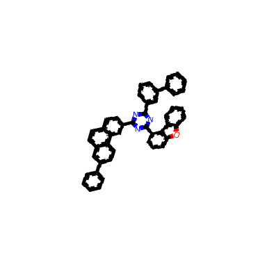 c1ccc(-c2cccc(-c3nc(-c4ccc5ccc6cc(-c7ccccc7)ccc6c5c4)nc(-c4cccc5oc6ccccc6c45)n3)c2)cc1